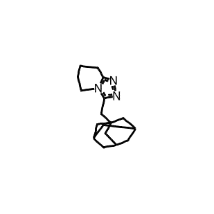 C1CCn2c(nnc2CC23CC4CC(CC(C4)C2)C3)C1